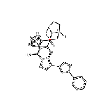 CS(=O)(=O)c1c(C2CC3CC[C@H](C2)N3C(=O)c2nnc[nH]2)nc2c(-c3cnn(-c4ccccc4)c3)cnn2c1N